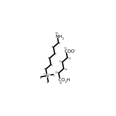 C[N+](C)(C)CCCCCCN.O=C([O-])CCCCC(=O)O